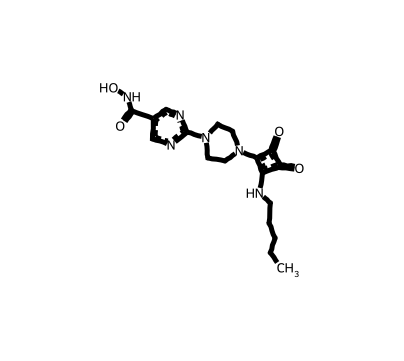 CCCCCNc1c(N2CCN(c3ncc(C(=O)NO)cn3)CC2)c(=O)c1=O